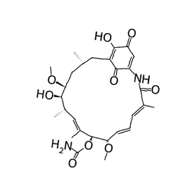 CO[C@H]1/C=C/C=C(\C)C(=O)NC2=CC(=O)C(O)=C(C[C@@H](C)C[C@H](OC)[C@H](O)[C@@H](C)/C=C(\C)[C@@H]1OC(N)=O)C2=O